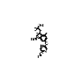 [C-]#[N+]c1cnc(Oc2cc(C)c3c(c2)B(O)OC3CC(=O)O)cn1